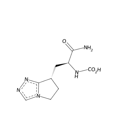 NC(=O)[C@H](C[C@@H]1CCn2cnnc21)NC(=O)O